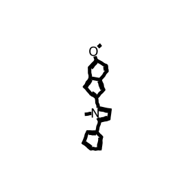 COc1ccc2cc(-c3ccc(-c4ccccc4)n3C)ccc2c1